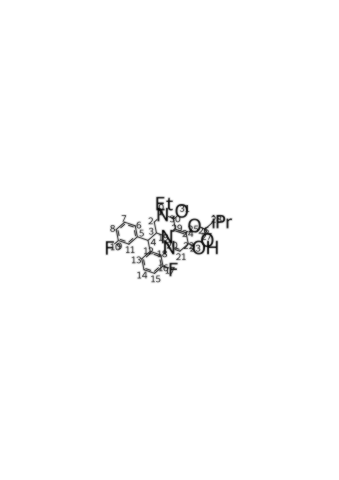 CCN1CC(C(c2cccc(F)c2)c2cccc(F)c2)N2N=CC(O)C(OC(=O)C(C)C)=C2C1=O